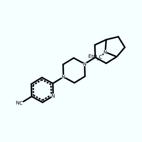 CCOC(=O)N1C2CCC1CC(N1CCN(c3ccc(C#N)cn3)CC1)C2